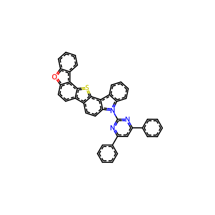 c1ccc(-c2cc(-c3ccccc3)nc(-n3c4ccccc4c4c5sc6c(ccc7oc8ccccc8c76)c5ccc43)n2)cc1